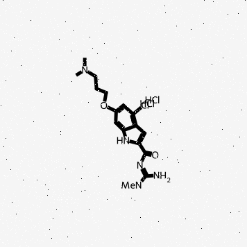 CNC(N)=NC(=O)c1cc2c(Cl)cc(OCCCN(C)C)cc2[nH]1.Cl.Cl